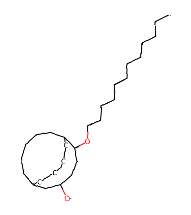 [CH2]CCCCCCCCCCCOC1CCC([O])CC2CCCCCC1CCCCC2